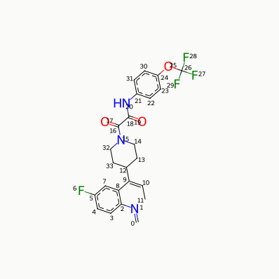 C=Nc1ccc(F)cc1/C(=C\C)C1CCN(C(=O)C(=O)Nc2ccc(OC(F)(F)F)cc2)CC1